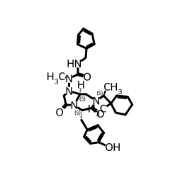 C[C@H](N1C[C@H]2N(C(=O)CN2N(C)C(=O)NCc2ccccc2)[C@@H](Cc2ccc(O)cc2)C1=O)C1(C)C=CCCC1